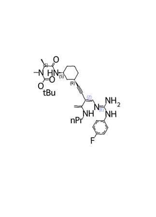 C=C(NCCC)/C(C#C[C@@H]1CCC[C@H](NC(=O)[C@H](C)N(C)C(=O)OC(C)(C)C)C1)=C\N=C(/N)Nc1ccc(F)cc1